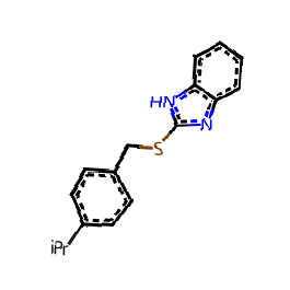 CC(C)c1ccc(CSc2nc3ccccc3[nH]2)cc1